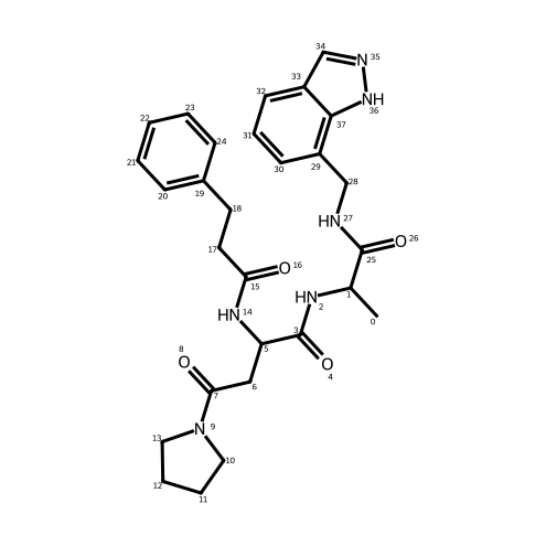 CC(NC(=O)C(CC(=O)N1CCCC1)NC(=O)CCc1ccccc1)C(=O)NCc1cccc2cn[nH]c12